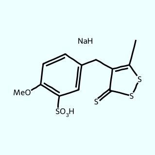 COc1ccc(Cc2c(C)ssc2=S)cc1S(=O)(=O)O.[NaH]